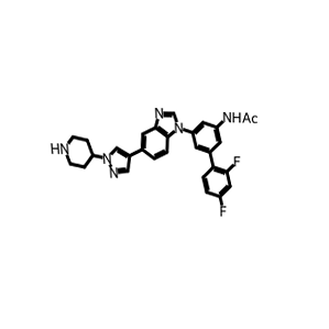 CC(=O)Nc1cc(-c2ccc(F)cc2F)cc(-n2cnc3cc(-c4cnn(C5CCNCC5)c4)ccc32)c1